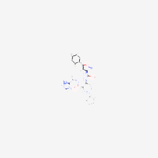 CC(NC(=O)[C@H]1CN(C2CCCC2)CC[C@@H]1NC(=O)c1cc(-c2ccc(F)cc2F)on1)c1nc[nH]n1